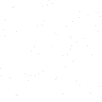 CC(=O)OCC1COc2cc(F)c3nc(N)sc3c2O1